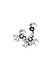 COc1ccc(COCC2O[C@@H](OCC3O[C@@H](SC)C(C)[C@@H](C)[C@H]3C)C(NC(C)=O)[C@@H](C)[C@@H]2C)cc1